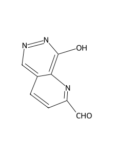 O=Cc1ccc2cnnc(O)c2n1